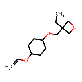 C=COC1CCC(OCC2(CC)COC2)CC1